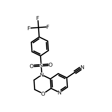 N#Cc1cnc2c(c1)N(S(=O)(=O)c1ccc(C(F)(F)F)cc1)CCO2